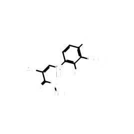 CCCOC(=O)C(=CNc1ccc(Cl)c(C(=O)O)c1Cl)C(C)=O